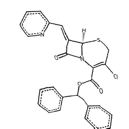 O=C(OC(c1ccccc1)c1ccccc1)C1=C(Cl)CS[C@@H]2/C(=C/c3ccccn3)C(=O)N12